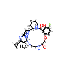 CN1CCNC(=O)COc2ccc(F)cc2C(O)N2CCCCC2c2cc3nc(C4CC4)cc1n3n2